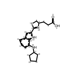 O=C(O)CCC1CSC(c2cc3cccc(NC4CCCC4)c3[nH]2)=N1